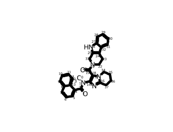 CN(C(=O)c1cccc2ccccc12)c1nc2n(c1C(=O)N1CCc3c([nH]c4ccccc34)C1)CCCC2